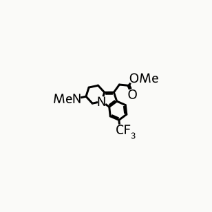 CNC1CCc2c(CC(=O)OC)c3ccc(C(F)(F)F)cc3n2C1